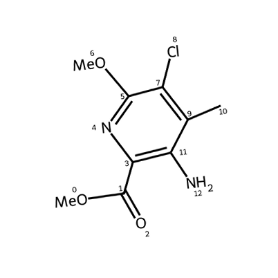 COC(=O)c1nc(OC)c(Cl)c(C)c1N